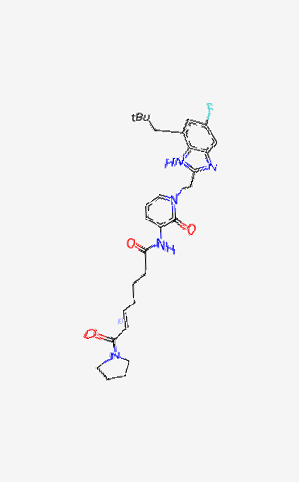 CC(C)(C)Cc1cc(F)cc2nc(Cn3cccc(NC(=O)CCC/C=C/C(=O)N4CCCC4)c3=O)[nH]c12